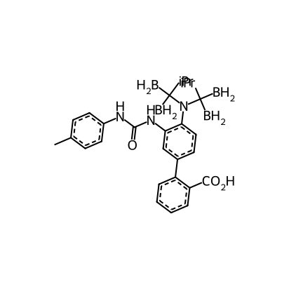 BC(B)(C(C)C)N(c1ccc(-c2ccccc2C(=O)O)cc1NC(=O)Nc1ccc(C)cc1)C(B)(B)C(C)C